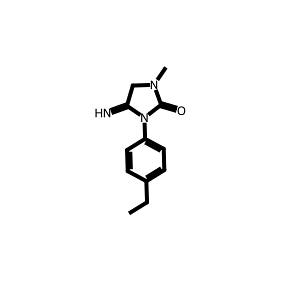 CCc1ccc(N2C(=N)CN(C)C2=O)cc1